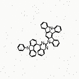 c1ccc(-n2c3ccccc3c3c(-c4nc(-n5c6ccccc6c6c7c8ccccc8n8c9ccccc9c(cc65)c78)nc5ccccc45)cccc32)cc1